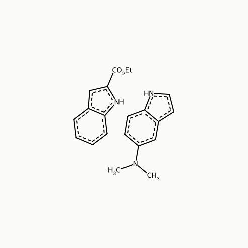 CCOC(=O)c1cc2ccccc2[nH]1.CN(C)c1ccc2[nH]ccc2c1